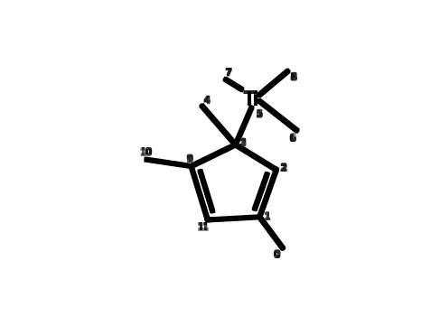 CC1=C[C](C)([Ti]([CH3])([CH3])[CH3])C(C)=C1